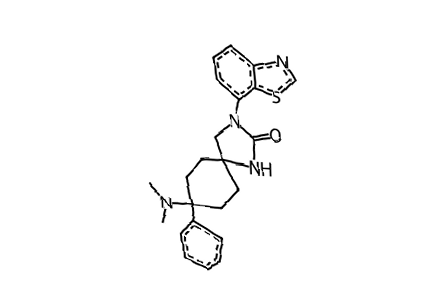 CN(C)C1(c2ccccc2)CCC2(CC1)CN(c1cccc3ncsc13)C(=O)N2